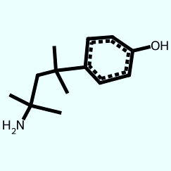 CC(C)(N)CC(C)(C)c1ccc(O)cc1